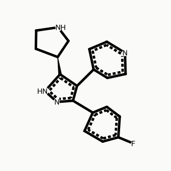 Fc1ccc(-c2n[nH]c([C@H]3CCNC3)c2-c2ccncc2)cc1